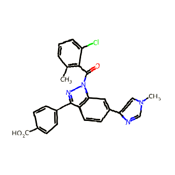 Cc1cccc(Cl)c1C(=O)n1nc(-c2ccc(C(=O)O)cc2)c2ccc(-c3cn(C)cn3)cc21